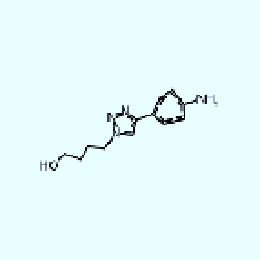 Nc1ccc(-c2cn(CCCCO)nn2)cc1